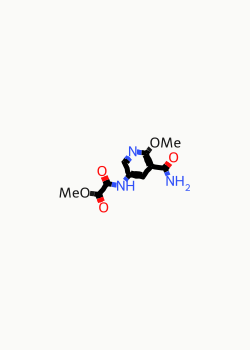 COC(=O)C(=O)Nc1cnc(OC)c(C(N)=O)c1